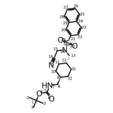 CC(C)(C)OC(=O)NC[C@H]1CC[C@H](CN(CC#N)S(=O)(=O)c2ccc3ccccc3c2)CC1